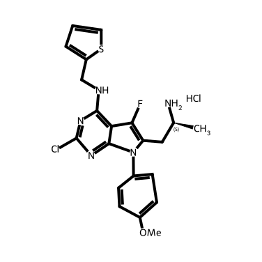 COc1ccc(-n2c(C[C@H](C)N)c(F)c3c(NCc4cccs4)nc(Cl)nc32)cc1.Cl